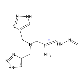 C=NN/C=C(\N)CN(Cc1c[nH]nn1)Cc1c[nH]nn1